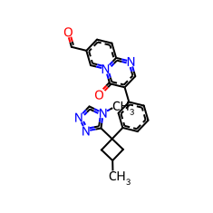 CC1CC(c2cccc(-c3cnc4ccc(C=O)cn4c3=O)c2)(c2nncn2C)C1